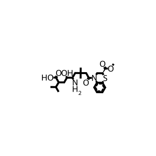 COC(=O)[C@@H]1CN(C(=O)CC(C)(C)CC(N)C(O)CC(C(=O)O)C(C)C)c2ccccc2S1